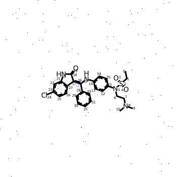 CCS(=O)(=O)N(CCN(C)C)c1ccc(N/C(=C2\C(=O)Nc3cc(Cl)ccc32)c2ccccc2)cc1